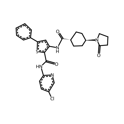 O=C(Nc1ccc(Cl)cn1)c1sc(-c2ccccc2)cc1NC(=O)[C@H]1CC[C@H](N2CCCC2=O)CC1